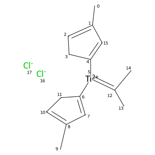 CC1=CC[C]([Ti+2]([C]2=CC(C)=CC2)=[C](C)C)=C1.[Cl-].[Cl-]